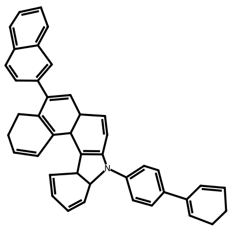 C1=CC2C3=C(C=CC4C=C(c5ccc6ccccc6c5)C5=C(C=CCC5)C34)N(c3ccc(C4=CCCC=C4)cc3)C2C=C1